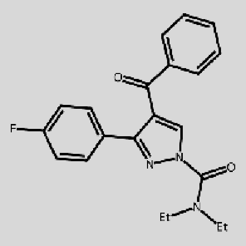 CCN(CC)C(=O)n1cc(C(=O)c2ccccc2)c(-c2ccc(F)cc2)n1